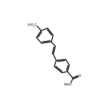 CCOC(=O)c1ccc(C=Cc2ccc(C(=O)OC)cc2)cc1